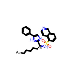 CC(=O)CCCCC[C@H](NS(=O)(=O)c1cccc2cnccc12)c1ncc(-c2ccccc2)[nH]1